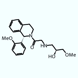 COC[C@@H](O)CNCC(=O)N1CCc2ccccc2[C@H]1c1ccccc1OC